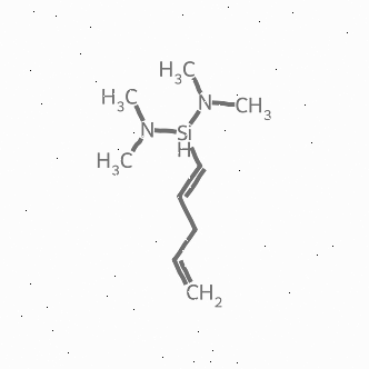 C=CCC=C[SiH](N(C)C)N(C)C